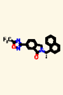 C[C@@H](c1cccc2ccccc12)N1Cc2ccc(-c3noc(C(F)(F)F)n3)cc2C1=O